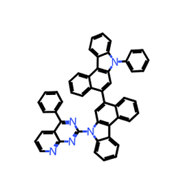 c1ccc(-c2nc(-n3c4ccccc4c4c5ccccc5c(-c5cc6c(c7ccccc57)c5ccccc5n6-c5ccccc5)cc43)nc3ncccc23)cc1